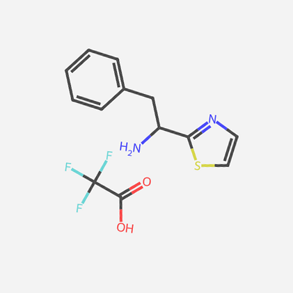 NC(Cc1ccccc1)c1nccs1.O=C(O)C(F)(F)F